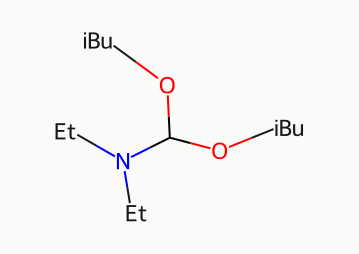 CCC(C)OC(OC(C)CC)N(CC)CC